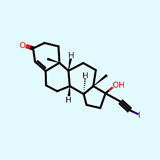 C[C@]12CCC(=O)C=C1CC[C@@H]1[C@H]2CC[C@@]2(C)[C@H]1CCC2(O)C#CI